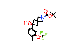 Cc1ccc(C2(O)CC3(CN(C(=O)OC(C)(C)C)C3)C2)cc1OC(F)(F)F